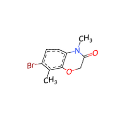 Cc1c(Br)ccc2c1OCC(=O)N2C